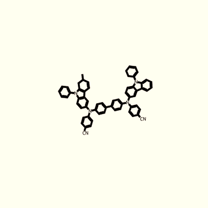 CC1C=Cc2c(n(-c3ccccc3)c3ccc(N(c4ccc(C#N)cc4)c4ccc(-c5ccc(N(c6ccc(C#N)cc6)c6ccc7c(c6)c6ccccc6n7C6=CC=CCC6)cc5)cc4)cc23)C1